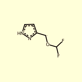 FC(F)O[CH]c1cc[nH]n1